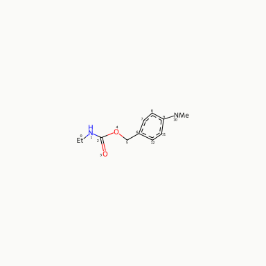 CCNC(=O)OCc1ccc(NC)cc1